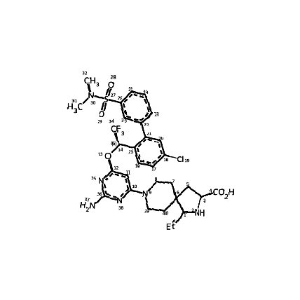 CCC1NC(C(=O)O)CC12CCN(c1cc(O[C@H](c3ccc(Cl)cc3-c3cccc(S(=O)(=O)N(C)C)c3)C(F)(F)F)nc(N)n1)CC2